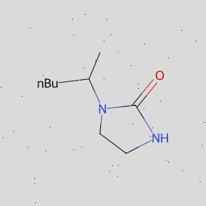 CCCCC(C)N1CCNC1=O